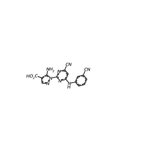 N#Cc1cccc(Nc2cc(C#N)nc(-n3ncc(C(=O)O)c3N)n2)c1